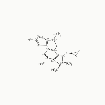 Cc1c(C)n(CC2CC2)c2c(CN(C)c3ccc(F)cc3)nccc12.Cl